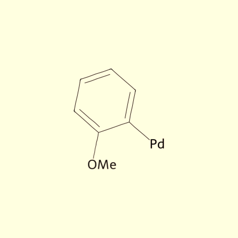 COc1cccc[c]1[Pd]